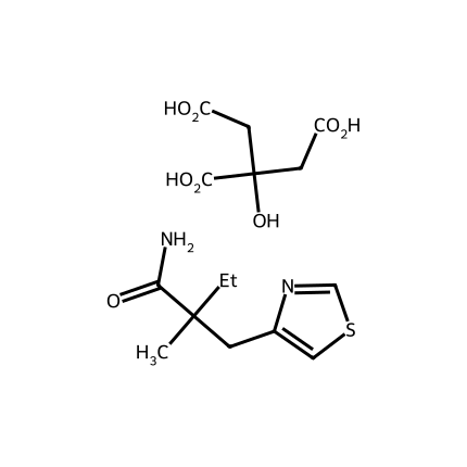 CCC(C)(Cc1cscn1)C(N)=O.O=C(O)CC(O)(CC(=O)O)C(=O)O